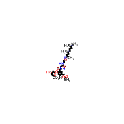 BC(=O)OCc1ccc(OC2CC(O)CC(C(=O)O)O2)c(C(=O)NCC(=O)NCCO/N=C(\C)CC/C(C)=C/CC/C(C)=C/C)c1